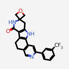 O=C1NC2(COC2)Cc2[nH]c3c(c21)CCc1cnc(-c2cccc(C(F)(F)F)c2)cc1-3